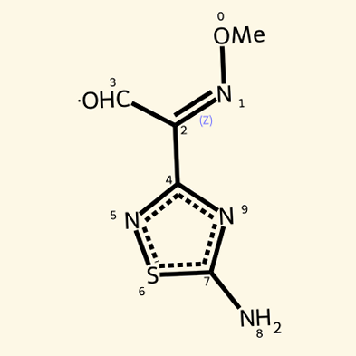 CO/N=C(\[C]=O)c1nsc(N)n1